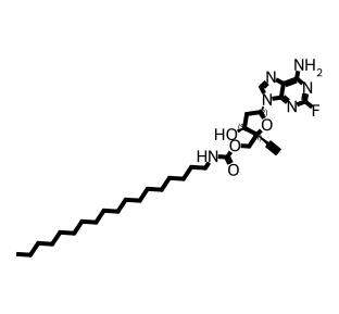 C#C[C@]1(COC(=O)NCCCCCCCCCCCCCCCCCC)O[C@@H](n2cnc3c(N)nc(F)nc32)C[C@@H]1O